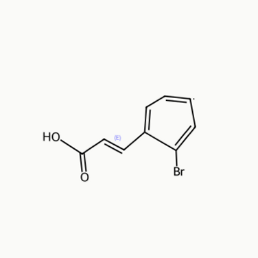 O=C(O)/C=C/c1cc[c]cc1Br